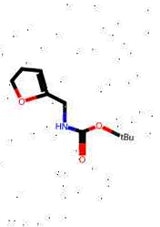 CC(C)(C)OC(=O)NCC1=CCCO1